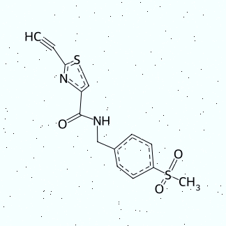 C#Cc1nc(C(=O)NCc2ccc(S(C)(=O)=O)cc2)cs1